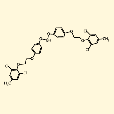 Cc1cc(Cl)c(OCCOc2ccc(OBOc3ccc(OCCOc4c(Cl)cc(C)cc4Cl)cc3)cc2)c(Cl)c1